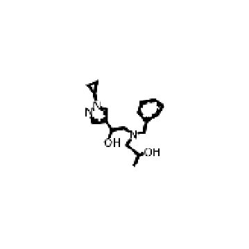 CC(O)CN(Cc1ccccc1)CC(O)c1cnn(C2CC2)c1